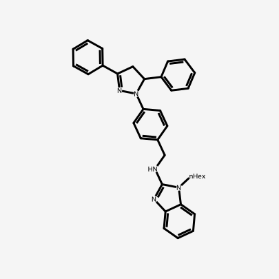 CCCCCCn1c(NCc2ccc(N3N=C(c4ccccc4)CC3c3ccccc3)cc2)nc2ccccc21